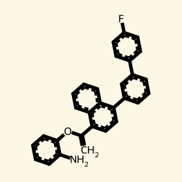 C=C(Oc1ccccc1N)c1ccc(-c2cccc(-c3ccc(F)cc3)c2)c2ccccc12